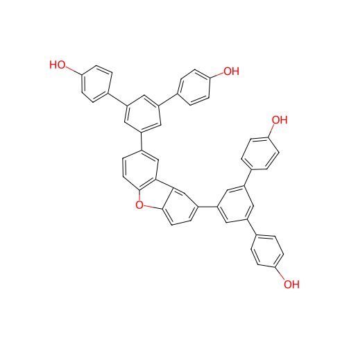 Oc1ccc(-c2cc(-c3ccc(O)cc3)cc(-c3ccc4oc5ccc(-c6cc(-c7ccc(O)cc7)cc(-c7ccc(O)cc7)c6)cc5c4c3)c2)cc1